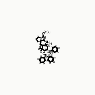 CC(C)(C)OC(=O)N1CCC[C@]12C[C@@H]1C(C)(C)[C@H](O[Si](c3ccccc3)(c3ccccc3)C(C)(C)C)[C@@H](Sc3ccccc3)C[C@@]1(O)NC2=O